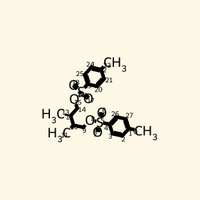 Cc1ccc(S(=O)(=O)OCC(C)[C@@H](C)COS(=O)(=O)c2ccc(C)cc2)cc1